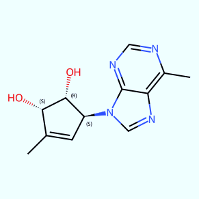 CC1=C[C@H](n2cnc3c(C)ncnc32)[C@@H](O)[C@H]1O